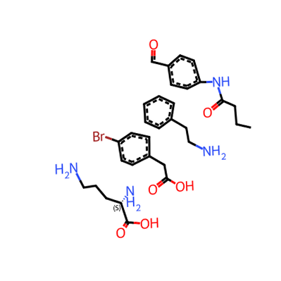 CCCC(=O)Nc1ccc(C=O)cc1.NCCC[C@H](N)C(=O)O.NCCc1ccccc1.O=C(O)Cc1ccc(Br)cc1